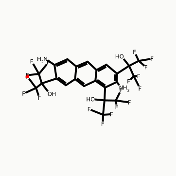 Nc1cc2cc3cc(C(O)(C(F)(F)F)C(F)(F)F)c(N)c(C(O)(C(F)(F)F)C(F)(F)F)c3cc2cc1C(O)(C(F)(F)F)C(F)(F)F